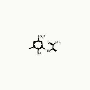 C=C(CC)C(N)=O.Cc1cc(S(=O)(=O)O)cc(C)c1N